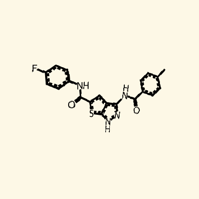 Cc1ccc(C(=O)Nc2n[nH]c3sc(C(=O)Nc4ccc(F)cc4)cc23)cc1